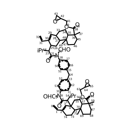 C=CC1=CC2(C(C(=O)N(C=O)c3ccc(Cc4ccc(N(C=O)C(=O)C(C(C)C)C5CC6C(C=C5C=C)CCC5C(C)(C(=O)OCC7CO7)CCCC65C)cc4)cc3)C(C)C)CCC3C(C)(C(=O)OCC4CO4)CCCC3(C)C2CC1